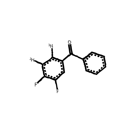 [2H]c1c(C(=O)c2ccccc2)cc(F)c(F)c1[2H]